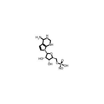 NC1NCNc2c1ccn2[C@H]1O[C@@H](COP(=O)(O)N=O)[C@H](O)[C@@H]1O